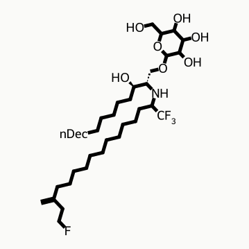 C=C(CCF)CCCCCCCCCCCC(N[C@@H](COC1OC(CO)C(O)C(O)C1O)[C@H](O)CCCCCCCCCCCCCCC)C(F)(F)F